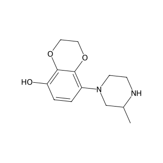 CC1CN(c2ccc(O)c3c2OCCO3)CCN1